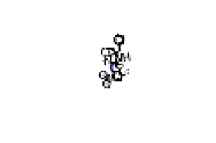 CCC1(Cc2ccccc2)NC(=O)/C(=C\c2c([N+](=O)[O-])ccc(F)c2F)N(C)C1=O